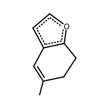 CC1=Cc2ccoc2CC1